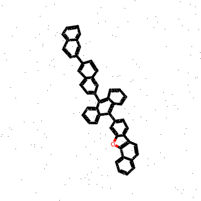 c1ccc2cc(-c3ccc4cc(-c5c6ccccc6c(-c6ccc7c(c6)oc6c8ccccc8ccc76)c6ccccc56)ccc4c3)ccc2c1